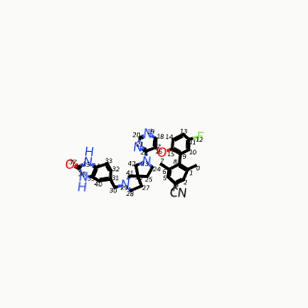 Cc1cc(C#N)cc(C)c1-c1cc(F)ccc1Oc1cncnc1N1CCC2(CCN(Cc3ccc4[nH]c(=O)[nH]c4c3)C2)C1